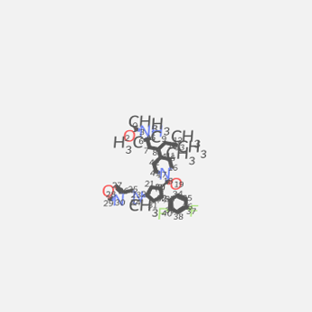 CC(=O)NC(C)(C)CC(CC(C)(C)C)C1CCN(C(=O)[C@@H]2CC(N(C)Cc3cocn3)C[C@H]2c2ccc(F)cc2F)CC1